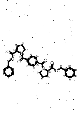 O=C(OCc1ccccc1)C1CCCN1C(=O)c1ccc(C(=O)N2CCCC2C(=O)OCc2ccccc2)cc1